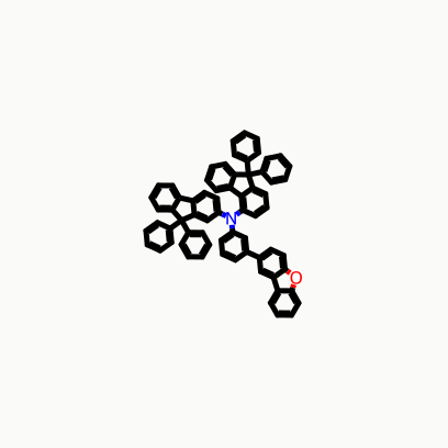 c1ccc(C2(c3ccccc3)c3ccccc3-c3ccc(N(c4cccc(-c5ccc6oc7ccccc7c6c5)c4)c4cccc5c4-c4ccccc4C5(c4ccccc4)c4ccccc4)cc32)cc1